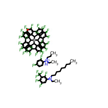 CCCCCCCCCN(CC)c1cc(F)c(F)c(C(F)(F)F)c1F.CCC[NH+](CC)c1ccc(F)cc1F.Fc1cc2c(c(F)c1F)-c1c(F)c(F)c(F)c(F)c1C2[B-](C1c2cc(F)c(F)c(F)c2-c2c(F)c(F)c(F)c(F)c21)(C1c2cc(F)c(F)c(F)c2-c2c(F)c(F)c(F)c(F)c21)C1c2cc(F)c(F)c(F)c2-c2c(F)c(F)c(F)c(F)c21